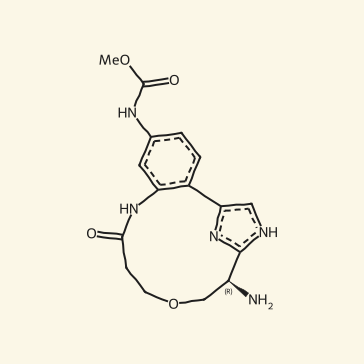 COC(=O)Nc1ccc2c(c1)NC(=O)CCOC[C@H](N)c1nc-2c[nH]1